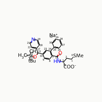 CSCC[C@H](NC(=O)c1ccc(C(O[Si](C)(C)C(C)(C)C)c2ccncc2)cc1-c1ccccc1)C(=O)[O-].[Na+]